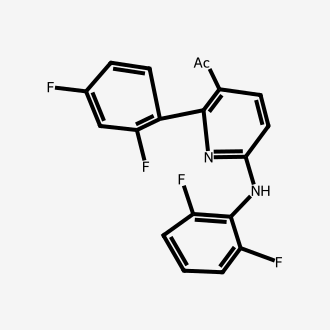 CC(=O)c1ccc(Nc2c(F)cccc2F)nc1-c1ccc(F)cc1F